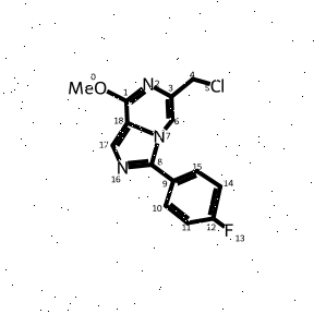 COc1nc(CCl)cn2c(-c3ccc(F)cc3)ncc12